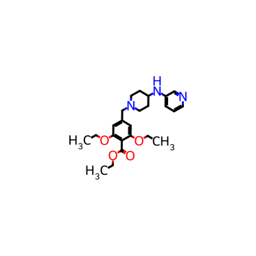 CCOC(=O)c1c(OCC)cc(CN2CCC(Nc3cccnc3)CC2)cc1OCC